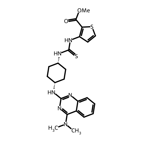 COC(=O)c1sccc1NC(=S)N[C@H]1CC[C@@H](Nc2nc(N(C)C)c3ccccc3n2)CC1